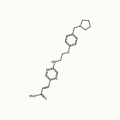 COC(=O)/C=C/c1cnc(NCCOc2ccc(CN3CCCC3)cc2)cn1